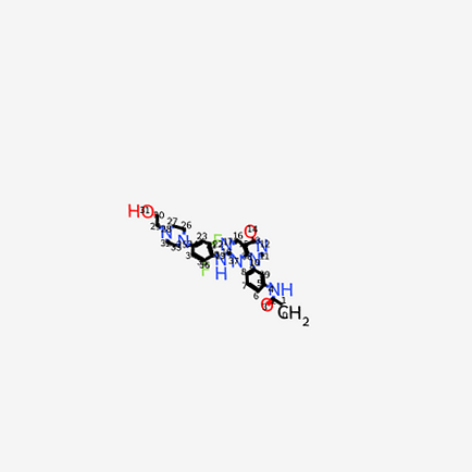 C=CC(=O)Nc1cccc(-n2cnc(=O)c3cnc(Nc4c(F)cc(N5CCN(CCO)CC5)cc4F)nc32)c1